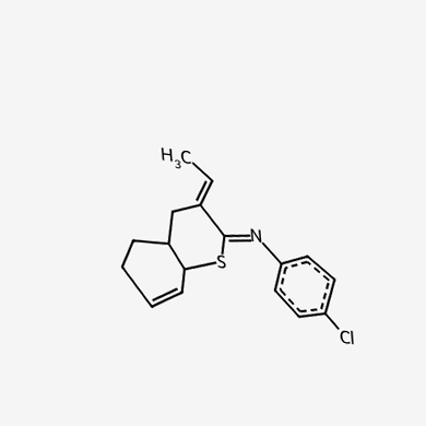 C/C=C1\CC2CCC=CC2S\C1=N/c1ccc(Cl)cc1